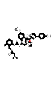 Cc1cccc(NC(=O)OCC[N+]2(C[C@](O)(c3cc(F)ccc3F)[C@@H](C)c3nc(-c4ccc(C#N)cc4)cs3)C=NC=N2)c1COC(=O)CN(C)C.Cl.[I-]